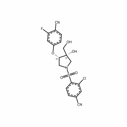 N#Cc1ccc(S(=O)(=O)N2C[C@H](Oc3ccc(C#N)c(F)c3)[C@@](O)(CO)C2)c(Cl)c1